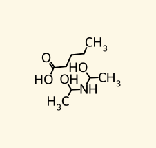 CC(O)NC(C)O.CCCCC(=O)O